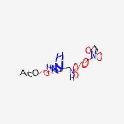 CC(=O)OCCOCCN1C=C(CNC(=O)OCCOCCN2C(=O)C=CC2=O)NN1